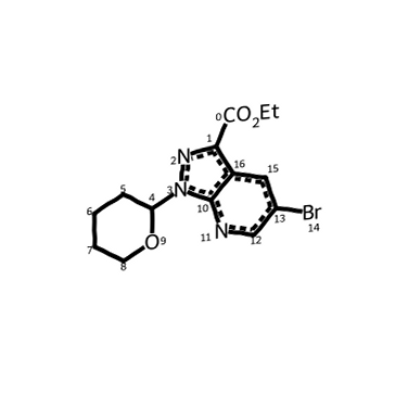 CCOC(=O)c1nn(C2CCCCO2)c2ncc(Br)cc12